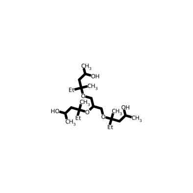 CCC(C)(CC(C)O)OCC(COC(C)(CC)CC(C)O)OC(C)(CC)CC(C)O